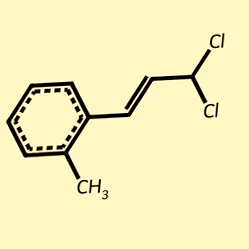 Cc1ccccc1/C=C/C(Cl)Cl